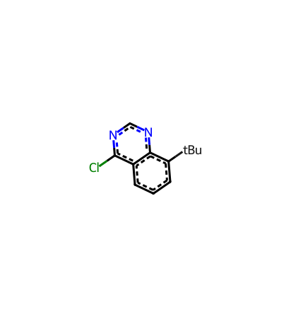 CC(C)(C)c1cccc2c(Cl)ncnc12